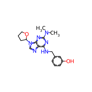 CN(C)c1nc(NCc2cccc(O)c2)c2ncn(C3CCCO3)c2n1